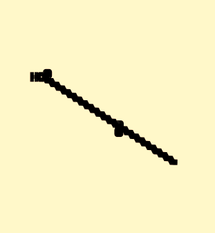 CCCCCCC=CCCCCCCCCCCCC(=O)OCCCCCCCCCCCCCCCCCCCCCCCCCC(=O)O